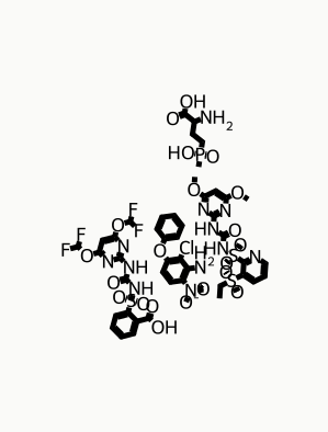 CCS(=O)(=O)c1cccnc1S(=O)(=O)NC(=O)Nc1nc(OC)cc(OC)n1.CP(=O)(O)CCC(N)C(=O)O.Nc1c([N+](=O)[O-])ccc(Oc2ccccc2)c1Cl.O=C(Nc1nc(OC(F)F)cc(OC(F)F)n1)NS(=O)(=O)c1ccccc1C(=O)O